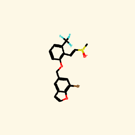 C[S+]([O-])C=Cc1c(OCc2cc(Br)c3occc3c2)cccc1C(F)(F)F